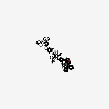 CCCc1nc(CNc2c(C)cc(Oc3ccc([N+](=O)[O-])c(N(C)C(=O)OC(C)(C)C)c3)cc2C)c(C(=O)OCC)n1Cc1ccc(-c2ccccc2-c2nnnn2C(c2ccccc2)(c2ccccc2)c2ccccc2)cc1